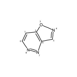 c1cc2oncc2nn1